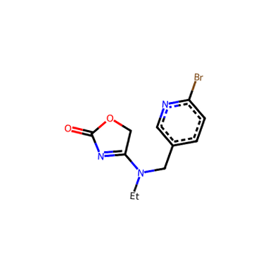 CCN(Cc1ccc(Br)nc1)C1=NC(=O)OC1